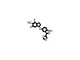 N#Cc1c(F)cc2c(c1F)CC[C@@H]2Oc1ccc2[nH]nc(-c3cnco3)c2c1